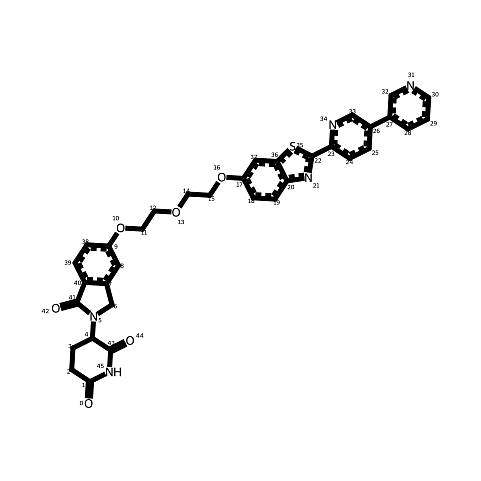 O=C1CCC(N2Cc3cc(OCCOCCOc4ccc5nc(-c6ccc(-c7cccnc7)cn6)sc5c4)ccc3C2=O)C(=O)N1